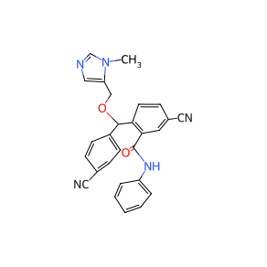 Cn1cncc1COC(c1ccc(C#N)cc1)c1ccc(C#N)cc1C(=O)Nc1ccccc1